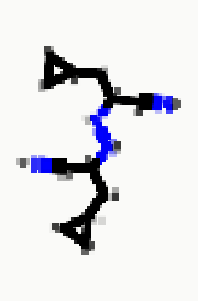 N#CC(CC1CC1)N=NC(C#N)CC1CC1